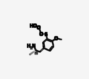 COc1ccc(C[C@H](C)N)cc1SOOO